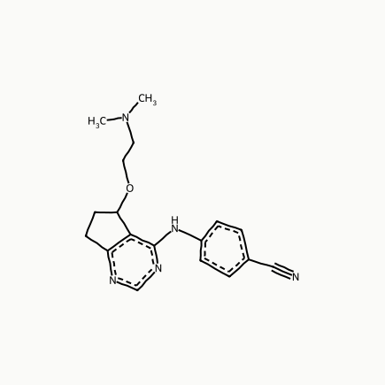 CN(C)CCOC1CCc2ncnc(Nc3ccc(C#N)cc3)c21